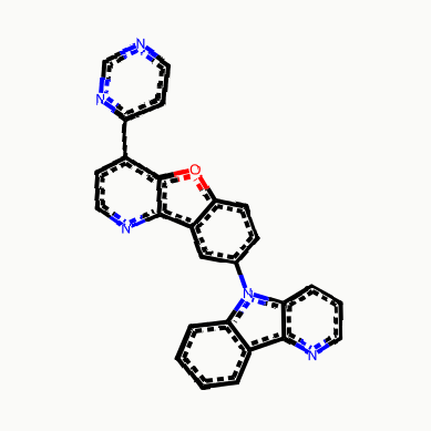 c1ccc2c(c1)c1ncccc1n2-c1ccc2oc3c(-c4ccncn4)ccnc3c2c1